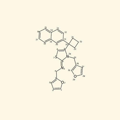 c1coc(CN=c2scc(C3(c4ccc5ccccc5c4)CCC3)n2Cc2ccoc2)c1